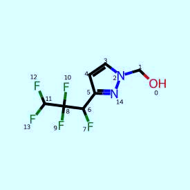 OCn1ccc(C(F)C(F)(F)C(F)F)n1